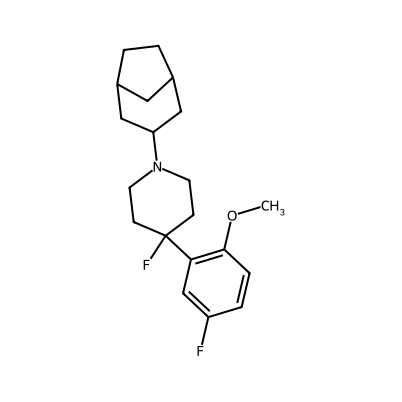 COc1ccc(F)cc1C1(F)CCN(C2CC3CCC(C3)C2)CC1